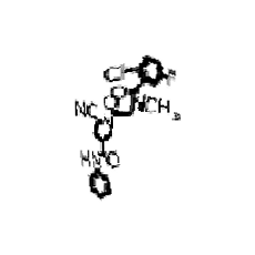 CN(CC(=O)N1CC(C(=O)Nc2ccccc2)CC1C#N)C(=O)c1cc(F)ccc1Cl